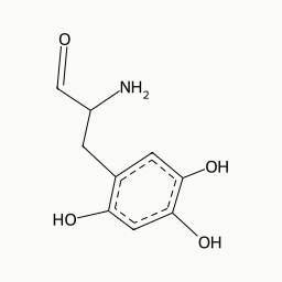 NC(C=O)Cc1cc(O)c(O)cc1O